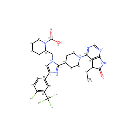 CCC1C(=O)Nc2ncnc(N3CCC(c4nc(-c5ccc(F)c(C(F)(F)F)c5)cn4CC4CCCCN4C(=O)O)CC3)c21